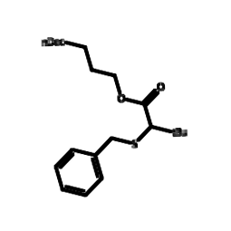 CCCCCCCCCCCCCOC(=O)C(SCc1ccccc1)C(C)(C)C